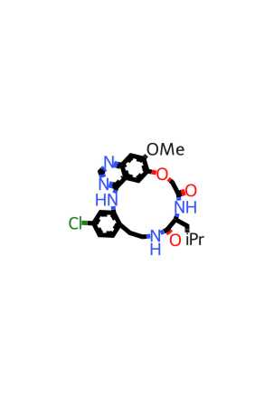 COc1cc2ncnc3c2cc1OCC(=O)NC(CC(C)C)C(=O)NCCc1ccc(Cl)cc1N3